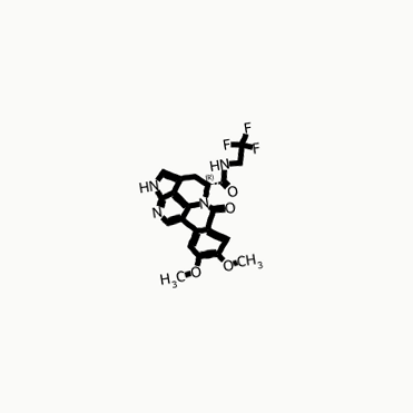 COc1cc2c(=O)n3c4c(cnc5[nH]cc(c54)C[C@@H]3C(=O)NCC(F)(F)F)c2cc1OC